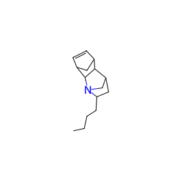 CCCCC1CC2CN1C1C3C=CC(C3)C21